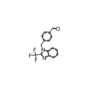 O=Cc1ccc(Cn2c(C(F)(F)F)nc3ccccc32)cc1